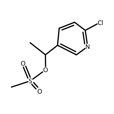 CC(OS(C)(=O)=O)c1ccc(Cl)nc1